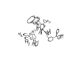 Cc1nc(NCc2cccc(C(=O)O)c2)nc(N[C@@H]2C[C@H](CO)[C@H]3OC(C)(C)O[C@H]32)c1-c1nc2ccccc2s1